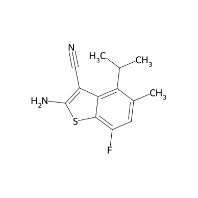 Cc1cc(F)c2sc(N)c(C#N)c2c1C(C)C